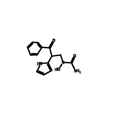 NC(=O)N(O)CC(C(=O)c1ccccc1)c1ccc[nH]1